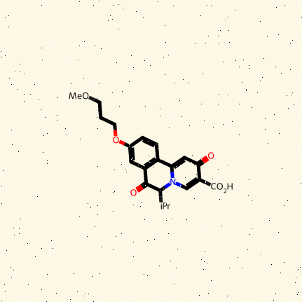 COCCCOc1ccc2c(c1)C(=O)C(C(C)C)n1cc(C(=O)O)c(=O)cc1-2